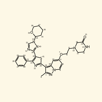 Cc1nn2ccc(OCCN3CCNC(=O)C3)cc2c1-c1nc(-c2ccccc2)c(-c2ncn(C3CCCCO3)n2)s1